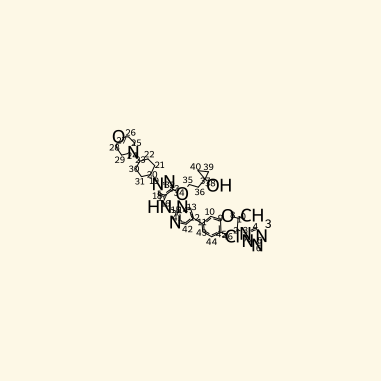 C[C@@H](Cn1cnnn1)Oc1cc(-c2cnc(Nc3cn([C@H]4CC[C@H](N5CCOCC5)CC4)nc3OCCC3(O)CC3)nc2)ccc1Cl